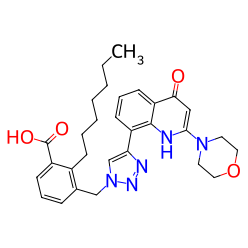 CCCCCCCc1c(Cn2cc(-c3cccc4c(=O)cc(N5CCOCC5)[nH]c34)nn2)cccc1C(=O)O